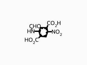 O=CNc1cc(C(=O)O)c([N+](=O)[O-])cc1C(=O)O